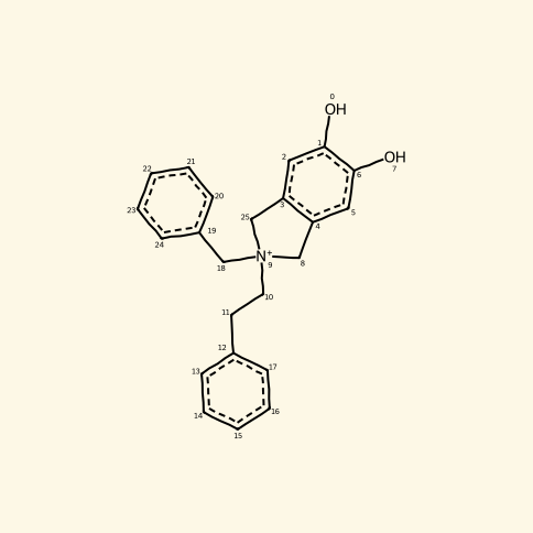 Oc1cc2c(cc1O)C[N+](CCc1ccccc1)(Cc1ccccc1)C2